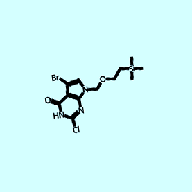 C[Si](C)(C)CCOCn1cc(Br)c2c(=O)[nH]c(Cl)nc21